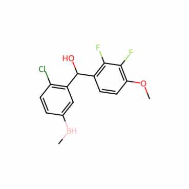 CBc1ccc(Cl)c(C(O)c2ccc(OC)c(F)c2F)c1